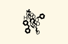 COCCN1C[C@H](C(c2ccccc2)c2ccccc2)n2cc(NC(=O)OC(C)(C)C)c(=O)c(OCc3ccccc3)c2C1=O